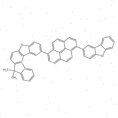 CC1(C)c2ccccc2-c2c1ccc1sc3ccc(-c4ccc5ccc6c(-c7ccc8oc9ccccc9c8c7)ccc7ccc4c5c76)cc3c21